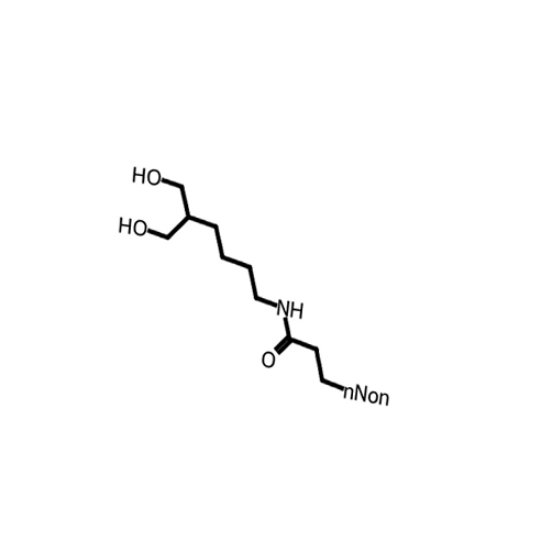 CCCCCCCCCCCC(=O)NCCCCC(CO)CO